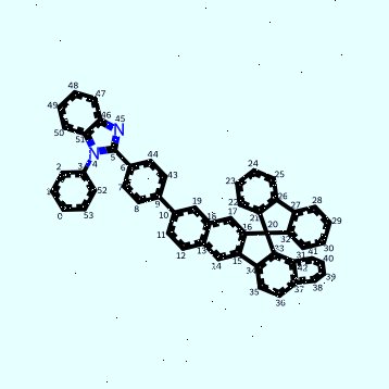 c1ccc(-n2c(-c3ccc(-c4ccc5cc6c(cc5c4)C4(c5ccccc5-c5ccccc54)c4c-6ccc5ccccc45)cc3)nc3ccccc32)cc1